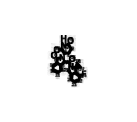 O=C1CCC(N2C(=O)c3ccccc3C2C(=O)N2Cc3cccc(F)c3C23CC3)C(=O)N1